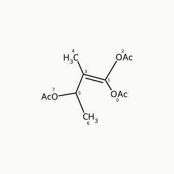 CC(=O)OC(OC(C)=O)=C(C)C(C)OC(C)=O